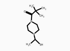 CC(S)N1CCN(C(=O)C(C)(C)C)CC1